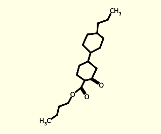 CCCCOC(=O)C1CCC(C2CCC(CCC)CC2)CC1=O